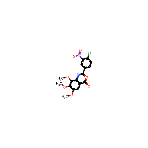 COc1cc2c(=O)oc(-c3ccc(Cl)c([N+](=O)[O-])c3)nc2c(OC)c1OC